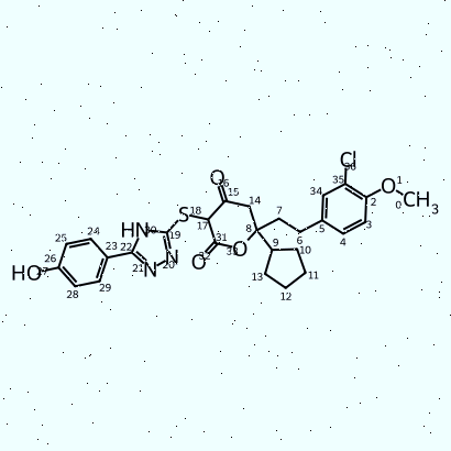 COc1ccc(CCC2(C3CCCC3)CC(=O)C(Sc3nnc(-c4ccc(O)cc4)[nH]3)C(=O)O2)cc1Cl